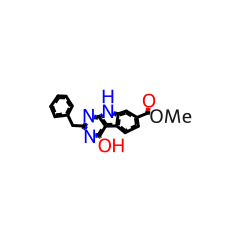 COC(=O)c1ccc2c(c1)[nH]c1nc(Cc3ccccc3)nc(O)c12